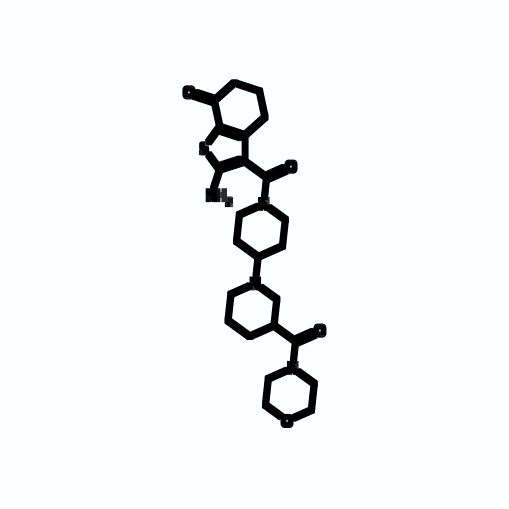 Nc1sc2c(c1C(=O)N1CCC(N3CCCC(C(=O)N4CCOCC4)C3)CC1)CCCC2=O